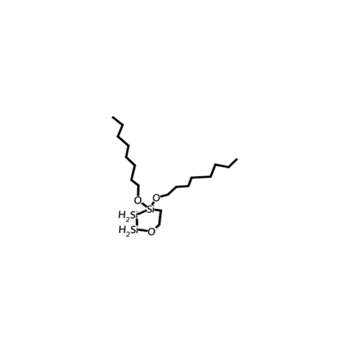 CCCCCCCCO[Si]1(OCCCCCCCC)CCO[SiH2][SiH2]1